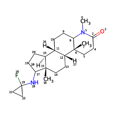 CN1C(=O)CC[C@@]2(C)C1CC[C@@H]1[C@H]2CC[C@]2(C)C(NC3(F)CC3)CC[C@@H]12